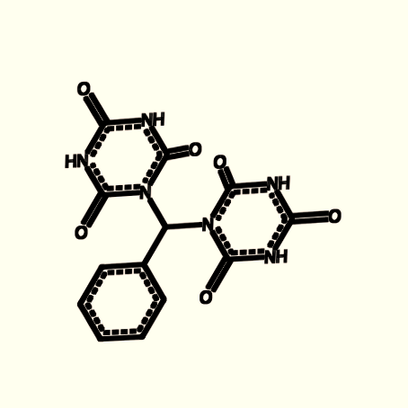 O=c1[nH]c(=O)n(C(c2ccccc2)n2c(=O)[nH]c(=O)[nH]c2=O)c(=O)[nH]1